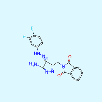 NC1=NN=C(CN2C(=O)c3ccccc3C2=O)/C1=N/Nc1ccc(F)c(F)c1